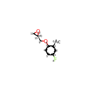 CC(=O)c1cc(F)ccc1OC[C@H]1CO1